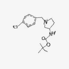 CC(C)(C)OC(=O)NC1CCN(Cc2ccc(Cl)cc2)C1